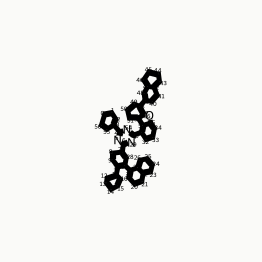 c1ccc(-c2nc(-c3ccc(-c4ccccc4)c(-c4cccc5ccccc45)c3)nc(-c3cccc4oc5c(-c6ccc7ccccc7c6)cccc5c34)n2)cc1